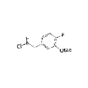 COc1cc(CNCl)ccc1F